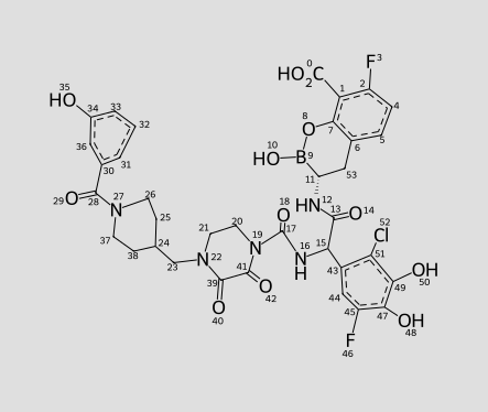 O=C(O)c1c(F)ccc2c1OB(O)[C@@H](NC(=O)C(NC(=O)N1CCN(CC3CCN(C(=O)c4cccc(O)c4)CC3)C(=O)C1=O)c1cc(F)c(O)c(O)c1Cl)C2